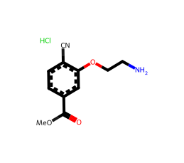 COC(=O)c1ccc(C#N)c(OCCN)c1.Cl